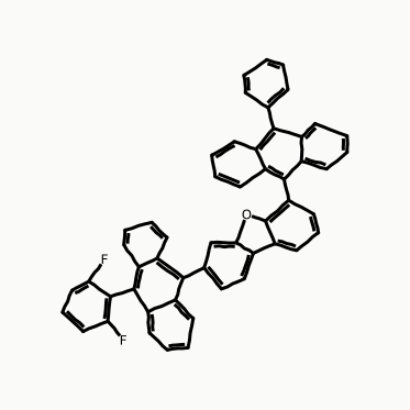 Fc1cccc(F)c1-c1c2ccccc2c(-c2ccc3c(c2)oc2c(-c4c5ccccc5c(-c5ccccc5)c5ccccc45)cccc23)c2ccccc12